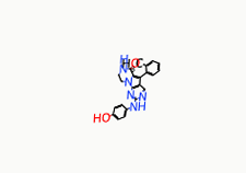 Cc1ccccc1-c1c2n(c3nc(Nc4ccc(O)cc4)ncc13)CCNC2=O